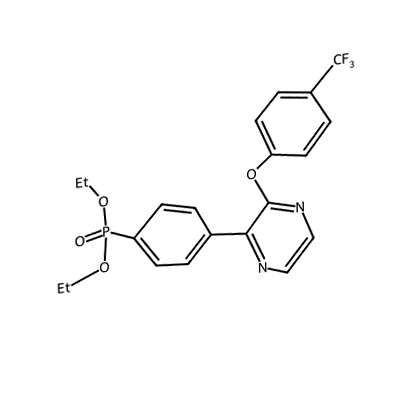 CCOP(=O)(OCC)c1ccc(-c2nccnc2Oc2ccc(C(F)(F)F)cc2)cc1